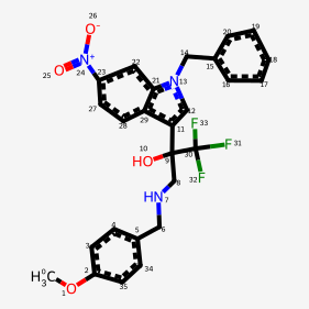 COc1ccc(CNCC(O)(c2cn(Cc3ccccc3)c3cc([N+](=O)[O-])ccc23)C(F)(F)F)cc1